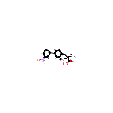 CC(C)(Cc1ccc(-c2cccc([N+](=O)[O-])c2)cc1)C(=O)O